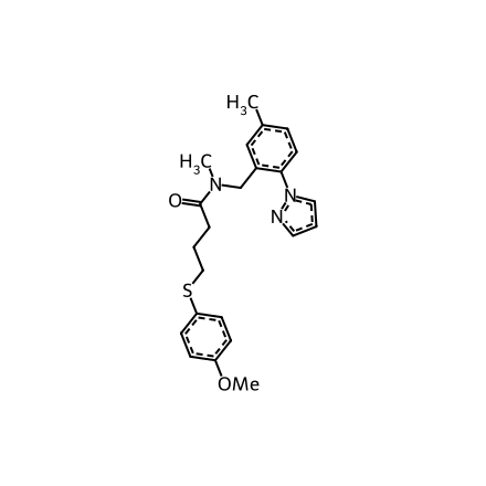 COc1ccc(SCCCC(=O)N(C)Cc2cc(C)ccc2-n2cccn2)cc1